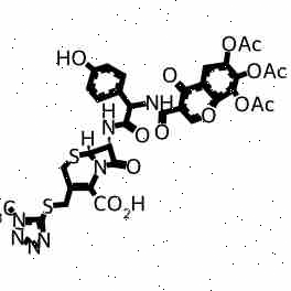 CC(=O)Oc1cc2c(=O)c(C(=O)NC(C(=O)N[C@@H]3C(=O)N4C(C(=O)O)=C(CSc5nnnn5C)CS[C@@H]34)c3ccc(O)cc3)coc2c(OC(C)=O)c1OC(C)=O